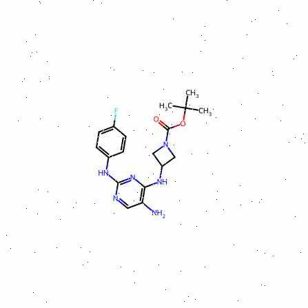 CC(C)(C)OC(=O)N1CC(Nc2nc(Nc3ccc(F)cc3)ncc2N)C1